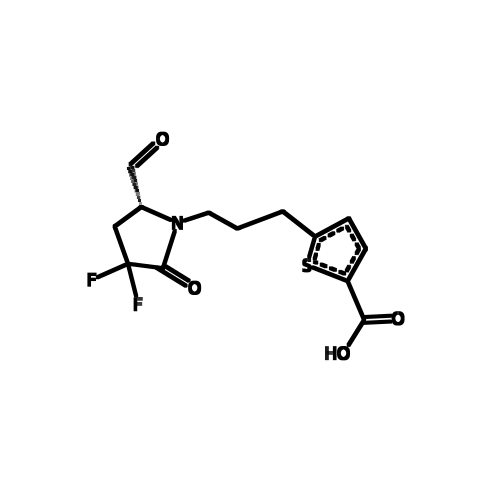 O=C[C@H]1CC(F)(F)C(=O)N1CCCc1ccc(C(=O)O)s1